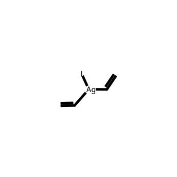 C=[CH][Ag]([I])[CH]=C